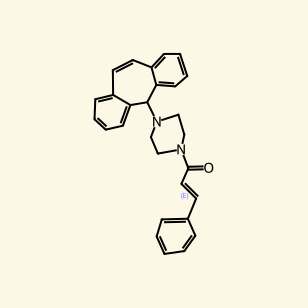 O=C(/C=C/c1ccccc1)N1CCN(C2c3ccccc3C=Cc3ccccc32)CC1